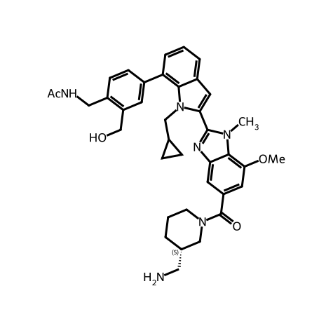 COc1cc(C(=O)N2CCC[C@@H](CN)C2)cc2nc(-c3cc4cccc(-c5ccc(CNC(C)=O)c(CO)c5)c4n3CC3CC3)n(C)c12